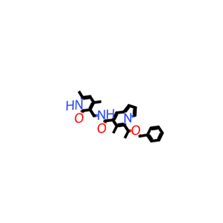 Cc1cc(C)c(CNC(=O)c2cc3cccn3c(C(C)OCc3ccccc3)c2C)c(=O)[nH]1